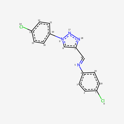 Clc1ccc(/N=C/c2cn(-c3ccc(Cl)cc3)nn2)cc1